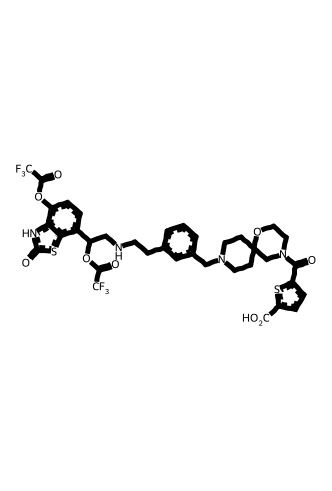 O=C(O)c1ccc(C(=O)N2CCOC3(CCN(Cc4cccc(CCNCC(OC(=O)C(F)(F)F)c5ccc(OC(=O)C(F)(F)F)c6[nH]c(=O)sc56)c4)CC3)C2)s1